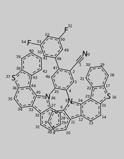 N#Cc1cc(-n2c3ccccc3c3ccc4sc5ccccc5c4c32)c(-n2c3ccccc3c3ccc4sc5ccccc5c4c32)cc1-c1cc(F)cc(F)c1